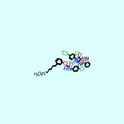 CCCCCCCCCCCCCCCc1cccc(OCC(=O)Nc2ccc(Cl)c(NC3=NN(c4c(Cl)cc(Cl)cc4Cl)C(=O)C3NS(=O)(=O)c3ccccc3)c2)c1